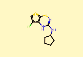 Clc1csc2c1NC(NC1CCCC1)=NS2